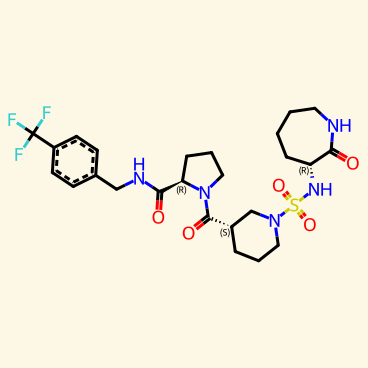 O=C(NCc1ccc(C(F)(F)F)cc1)[C@H]1CCCN1C(=O)[C@H]1CCCN(S(=O)(=O)N[C@@H]2CCCCNC2=O)C1